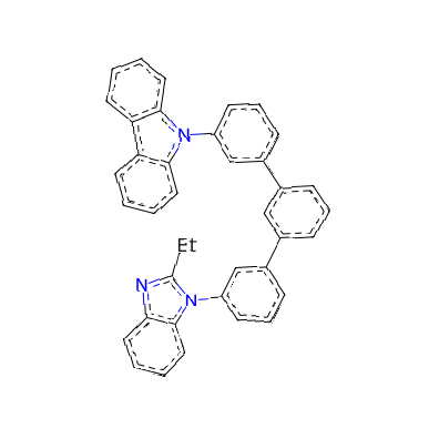 CCc1nc2ccccc2n1-c1cccc(-c2cccc(-c3cccc(-n4c5ccccc5c5ccccc54)c3)c2)c1